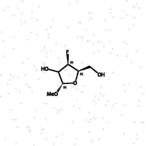 CO[C@H]1O[C@H](CO)[C@H](F)C1O